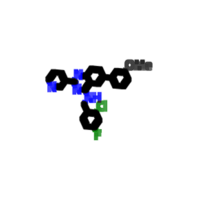 COc1cccc(-c2ccc3nc(-c4cccnc4)nc(NCc4ccc(F)cc4Cl)c3c2)c1